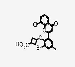 Cc1cc(Br)c(OC2CC(C(=O)O)C2)c(-c2cc(=O)c3cccc(Cl)c3o2)c1